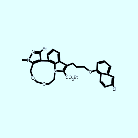 CCOC(=O)c1c(CCCOc2cccc3cc(Cl)ccc23)c2cccc3c2n1CCCCOCc1c-3c(CC)nn1C